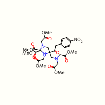 COC(=O)CN(CC(=O)OC)CC(CN(CC(=O)OC)CC(=O)OC)(C(=O)Cc1ccc([N+](=O)[O-])cc1)N(CC(=O)OC)CC(=O)OC